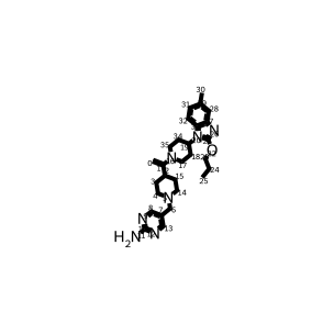 C=C(C1CCN(Cc2cnc(N)nc2)CC1)N1CCC(n2c(OCCC)nc3cc(C)ccc32)CC1